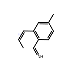 C/C=C\c1cc(C)ccc1C=N